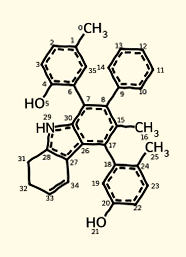 Cc1ccc(O)c(-c2c(-c3ccccc3)c(C)c(-c3cc(O)ccc3C)c3c4c([nH]c23)CCC=C4)c1